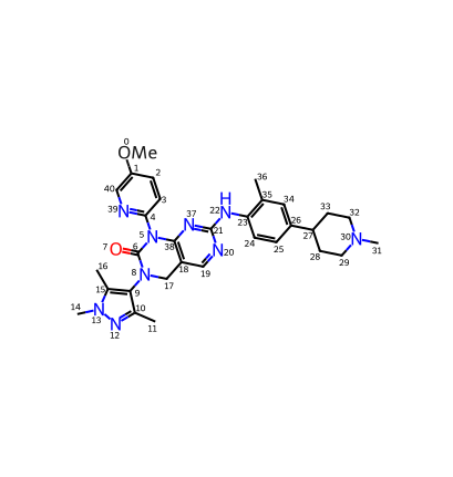 COc1ccc(N2C(=O)N(c3c(C)nn(C)c3C)Cc3cnc(Nc4ccc(C5CCN(C)CC5)cc4C)nc32)nc1